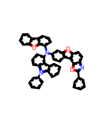 c1ccc(-c2nc3ccc4oc5cc(N(c6cccc7c6oc6ccccc67)c6cccc7c6c6ccccc6n7-c6ccccc6)ccc5c4c3o2)cc1